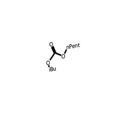 C[CH]C(C)OC(=O)OCCCCC